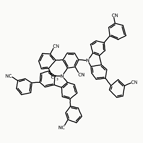 N#Cc1cccc(-c2ccc3c(c2)c2cc(-c4cccc(C#N)c4)ccc2n3-c2ccc(-c3c(C#N)cccc3C(F)(F)F)c(-n3c4ccc(-c5cccc(C#N)c5)cc4c4cc(-c5cccc(C#N)c5)ccc43)c2C#N)c1